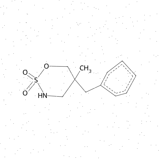 CC1(Cc2ccccc2)CNS(=O)(=O)OC1